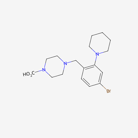 O=C(O)N1CCN(Cc2ccc(Br)cc2N2CCCCC2)CC1